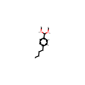 CCCCc1ccc(C(OC)OC)cc1